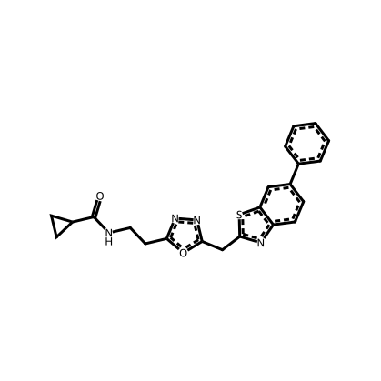 O=C(NCCc1nnc(Cc2nc3ccc(-c4ccccc4)cc3s2)o1)C1CC1